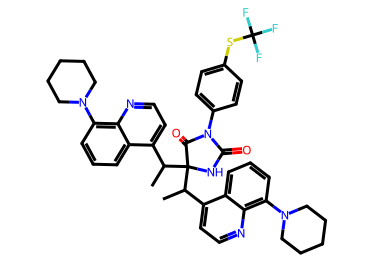 CC(c1ccnc2c(N3CCCCC3)cccc12)C1(C(C)c2ccnc3c(N4CCCCC4)cccc23)NC(=O)N(c2ccc(SC(F)(F)F)cc2)C1=O